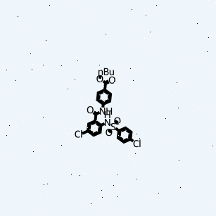 CCCCOC(=O)c1ccc(NC(=O)c2cc(Cl)ccc2NS(=O)(=O)c2ccc(Cl)cc2)cc1